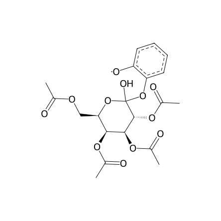 CC(=O)OC[C@H]1OC(O)(Oc2ccccc2[O])[C@H](OC(C)=O)[C@@H](OC(C)=O)[C@H]1OC(C)=O